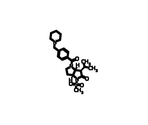 CC(C)[C@H]1C(=O)N(S(C)(=O)=O)[C@H]2CCN(C(=O)c3ccc(CN4CCCCC4)cc3)[C@H]12